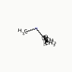 CCCCCCCC/C=C\CCCCCCCCO[PH](=O)CN(C)C